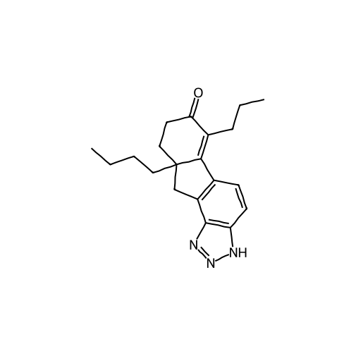 CCCCC12CCC(=O)C(CCC)=C1c1ccc3[nH]nnc3c1C2